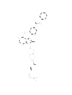 CN(C/C=C/C(=O)N1CC2CC(n3c(=O)n(-c4ccc(C(=O)Nc5ccccc5)cc4)c4c(N)ncnc43)CC2C1)C1CC1